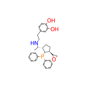 CC(NCCc1ccc(O)c(O)c1)[C@@H]1CC[C@@H](C2CO2)C1P(c1ccccc1)c1ccccc1